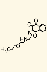 CCCOCCNCc1nc2c(o1)-c1ccccc1C(=O)C2=O